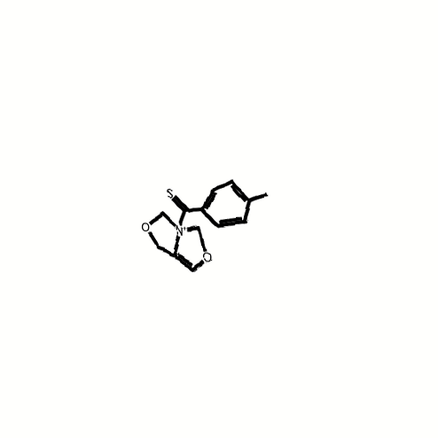 Cc1ccc(C(=S)[N+]23COC=C2COC3)cc1